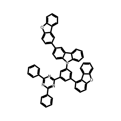 c1ccc(-c2nc(-c3ccccc3)nc(-c3cc(-c4cccc5oc6ccccc6c45)cc(-n4c5ccccc5c5cc(-c6ccc7oc8ccccc8c7c6)ccc54)c3)n2)cc1